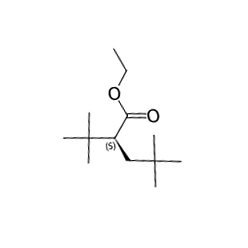 CCOC(=O)[C@@H](CC(C)(C)C)C(C)(C)C